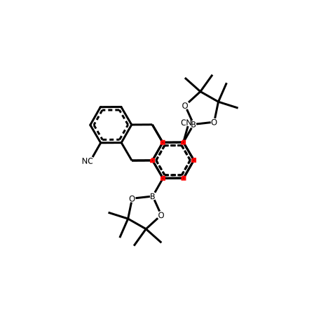 CC1(C)OB(c2ccc(B3OC(C)(C)C(C)(C)O3)c3c2C2c4cccc(C#N)c4C3c3cccc(C#N)c32)OC1(C)C